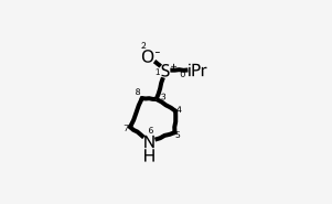 CC(C)[S+]([O-])C1CCNCC1